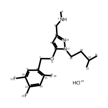 CNCc1cc(OCc2cc(F)c(F)cc2F)n(CCC(C)C)n1.Cl